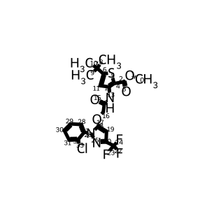 COC(=O)c1sc(C(C)(C)C)cc1NC(=O)COc1cc(C(F)(F)F)nn1-c1ccccc1Cl